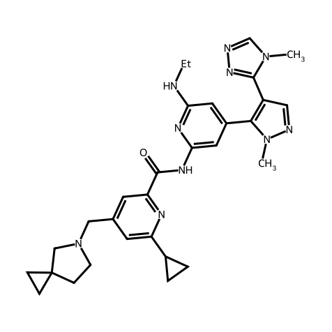 CCNc1cc(-c2c(-c3nncn3C)cnn2C)cc(NC(=O)c2cc(CN3CCC4(CC4)C3)cc(C3CC3)n2)n1